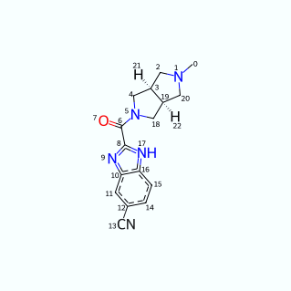 CN1C[C@@H]2CN(C(=O)c3nc4cc(C#N)ccc4[nH]3)C[C@@H]2C1